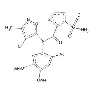 COc1cc(C(C)=O)c(N(C(=O)c2sccc2S(N)(=O)=O)c2onc(C)c2Cl)cc1OC